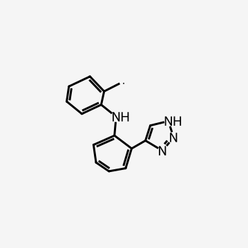 [CH2]c1ccccc1Nc1ccccc1-c1c[nH]nn1